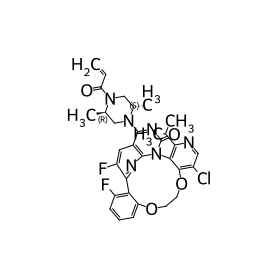 C=CC(=O)N1C[C@H](C)N(c2nc(=O)n3c4nc(c(F)cc24)-c2c(F)cccc2OCCOc2c(Cl)cnc(C(C)C)c2-3)C[C@H]1C